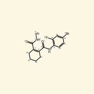 CCCNC(=O)C1=C(C(=O)Nc2ccc(Br)cc2F)CCCC1